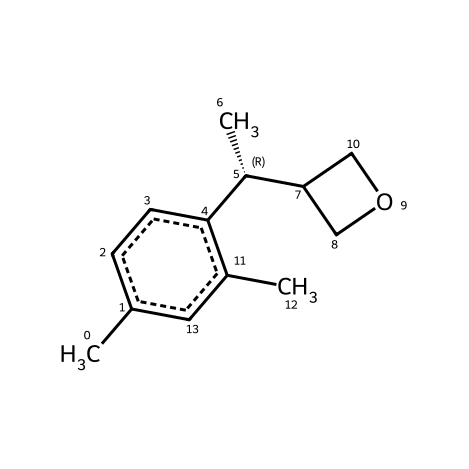 Cc1ccc([C@H](C)C2COC2)c(C)c1